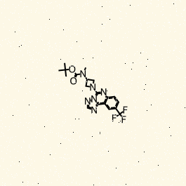 CN(C(=O)OC(C)(C)C)C1CN(c2nc3ccc(C(F)(F)F)cc3c3ncnn23)C1